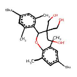 Cc1cc(C(C)(C)C)cc(C)c1OC(c1c(C)cc(C(C)(C)C)cc1C)C(CO)(CO)CO